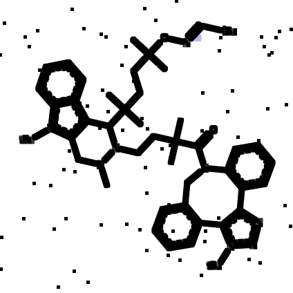 CN1Cc2c(c3ccccc3n2C(C)(C)C)C(C(C)(C)CCC(C)(C)O/N=C/C(C)(C)C)N1CCC(C)(C)C(=O)N1Cc2ccccc2-c2c(nnn2C(C)(C)C)-c2ccccc21